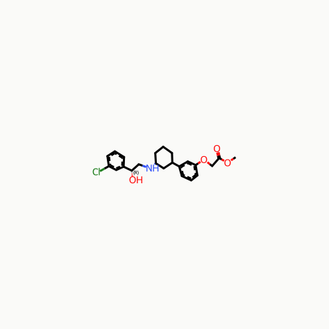 COC(=O)COc1cccc(C2CCCC(NC[C@H](O)c3cccc(Cl)c3)C2)c1